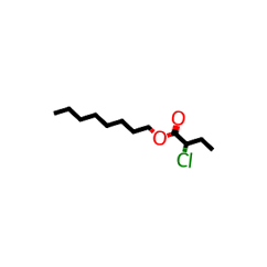 CCCCCCCCOC(=O)C(Cl)CC